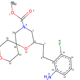 CC(C)(C)OC(=O)N1CC(CCc2c(N)cccc2F)OC2(CCOCC2)C1